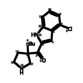 CCCCC1(C(=O)c2cc3c(Cl)cccc3[nH]2)CCNC1